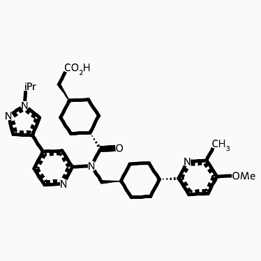 COc1ccc([C@H]2CC[C@H](CN(c3cc(-c4cnn(C(C)C)c4)ccn3)C(=O)[C@H]3CC[C@H](CC(=O)O)CC3)CC2)nc1C